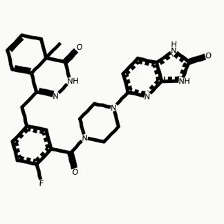 CC12CC=CC=C1C(Cc1ccc(F)c(C(=O)N3CCN(c4ccc5[nH]c(=O)[nH]c5n4)CC3)c1)=NNC2=O